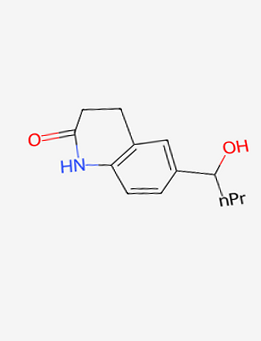 CCCC(O)c1ccc2c(c1)CCC(=O)N2